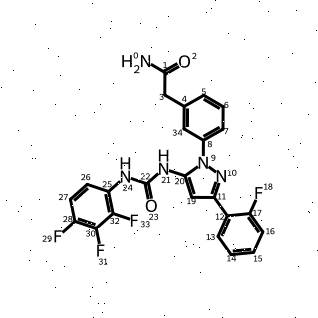 NC(=O)Cc1cccc(-n2nc(-c3ccccc3F)cc2NC(=O)Nc2ccc(F)c(F)c2F)c1